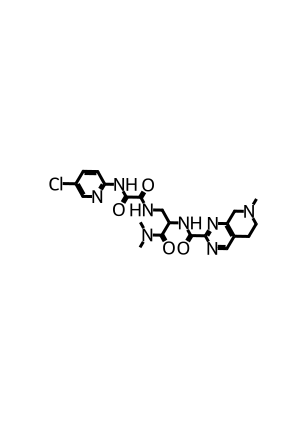 CN1CCc2cnc(C(=O)NC(CNC(=O)C(=O)Nc3ccc(Cl)cn3)C(=O)N(C)C)nc2C1